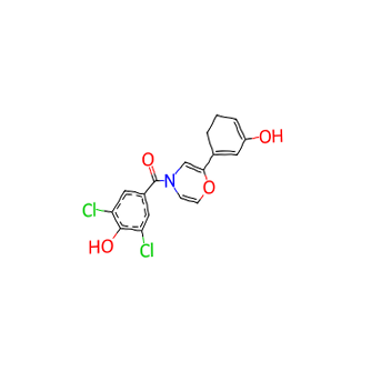 O=C(c1cc(Cl)c(O)c(Cl)c1)N1C=COC(C2=CC(O)=CCC2)=C1